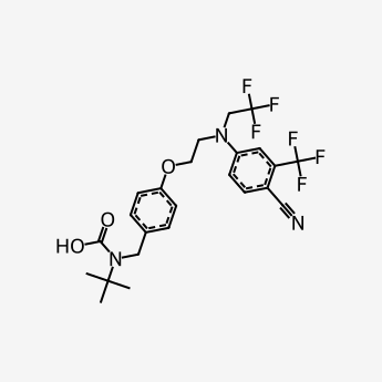 CC(C)(C)N(Cc1ccc(OCCN(CC(F)(F)F)c2ccc(C#N)c(C(F)(F)F)c2)cc1)C(=O)O